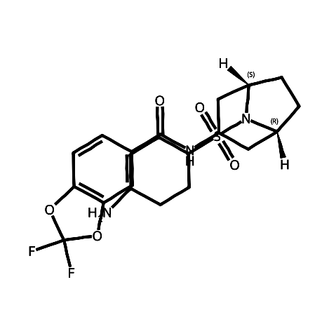 NC1CCC(S(=O)(=O)N2[C@@H]3CC[C@H]2CC(NC(=O)c2ccc4c(c2)OC(F)(F)O4)C3)CC1